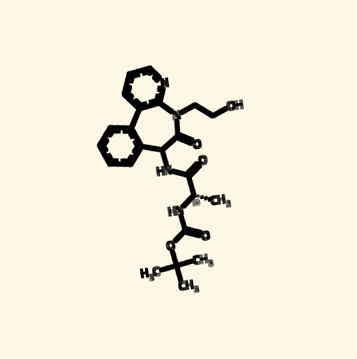 C[C@H](NC(=O)OC(C)(C)C)C(=O)NC1C(=O)N(CCO)c2ncccc2-c2ccccc21